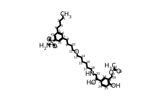 CCCCCc1cc(CCCCOCCCCCCNC[C@H](O)c2ccc(O)c(COC(C)=O)c2)cc(S(N)(=O)=O)c1